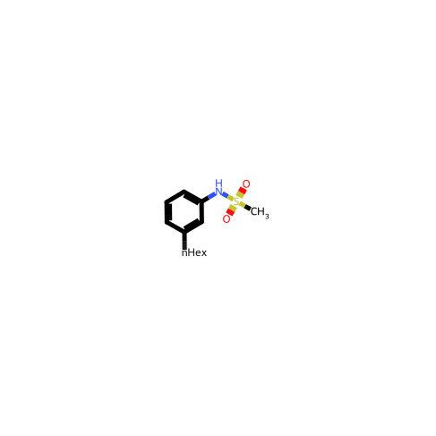 [CH2]CCCCCc1cccc(NS(C)(=O)=O)c1